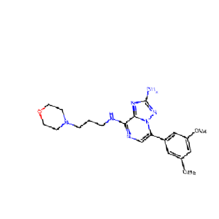 COc1cc(OC)cc(-c2cnc(NCCCN3CCOCC3)c3nc(N)nn23)c1